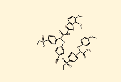 CCS(=O)(=O)c1ccc(C(Oc2ccc(C#N)cc2)C(=O)Nc2nc3ccc(OC)c(OC)c3s2)cc1.CCS(=O)(=O)c1ccc(C(Oc2ccc(OC)cc2)C(N)=O)cc1